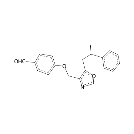 CC(Cc1ocnc1COc1ccc(C=O)cc1)c1ccccc1